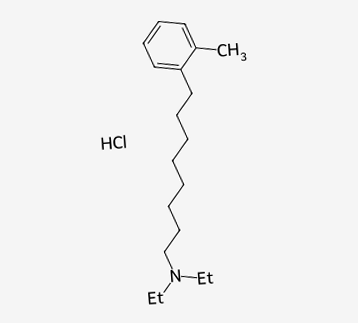 CCN(CC)CCCCCCCCc1ccccc1C.Cl